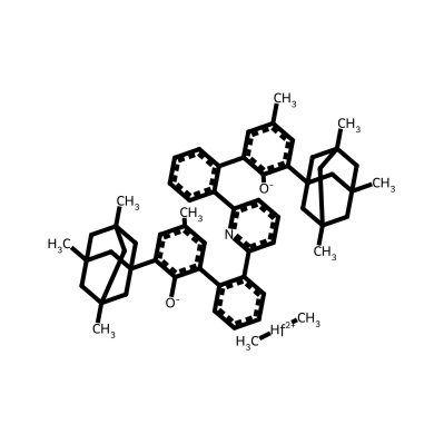 Cc1cc(-c2ccccc2-c2cccc(-c3ccccc3-c3cc(C)cc(C45CC6(C)CC(C)(CC(C)(C6)C4)C5)c3[O-])n2)c([O-])c(C23CC4(C)CC(C)(CC(C)(C4)C2)C3)c1.[CH3][Hf+2][CH3]